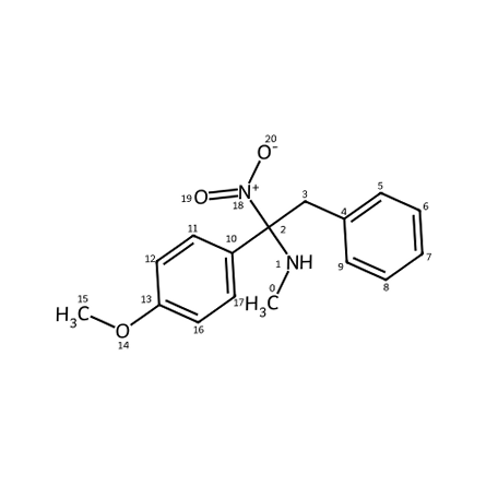 CNC(Cc1ccccc1)(c1ccc(OC)cc1)[N+](=O)[O-]